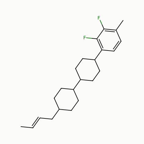 C/C=C/CC1CCC(C2CCC(c3ccc(C)c(F)c3F)CC2)CC1